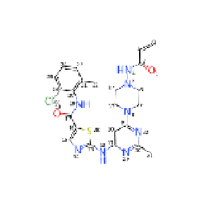 C=CC(=O)NN1CCN(c2cc(Nc3ncc(C(=O)Nc4c(C)cccc4Cl)s3)nc(C)n2)CC1